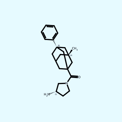 C[C@]12CC3CC(C(=O)N4CC[C@H](N)C4)(C1)C[C@@](c1ccccc1)(C3)C2